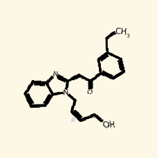 CCc1cccc(C(=O)Cc2nc3ccccc3n2C/C=C\CO)c1